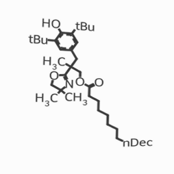 CCCCCCCCCCCCCCCCCC(=O)OCC(C)(Cc1cc(C(C)(C)C)c(O)c(C(C)(C)C)c1)C1=NC(C)(C)CO1